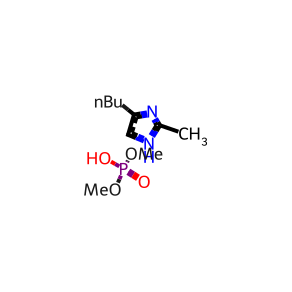 CCCCc1c[nH]c(C)n1.COP(=O)(O)OC